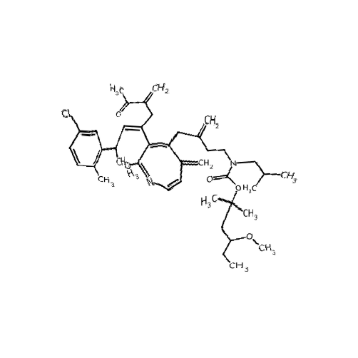 C=C(CCN(CC(C)C)C(=O)OC(C)(C)CC(CC)OC)CC1=C(/C(=C\C(C)c2cc(Cl)ccc2C)CC(=C)C(C)=O)C(C)=NC=CC1=C